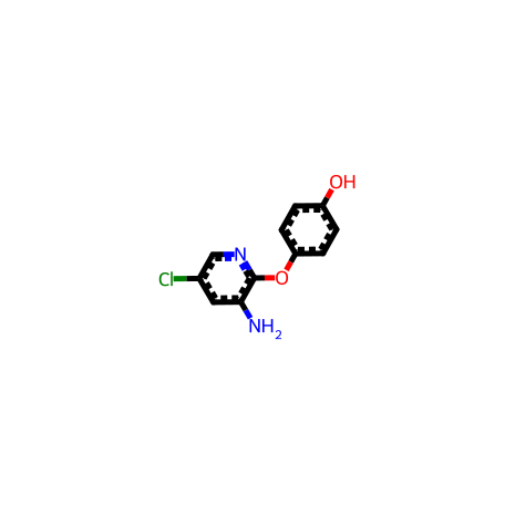 Nc1cc(Cl)cnc1Oc1ccc(O)cc1